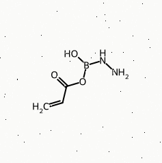 C=CC(=O)OB(O)NN